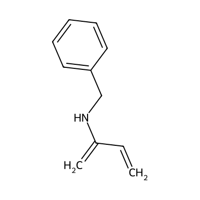 C=CC(=C)NCc1ccccc1